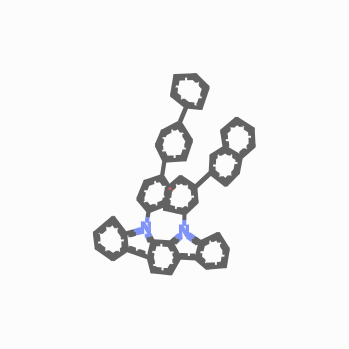 c1ccc(-c2ccc(-c3ccc(-n4c5ccccc5c5ccc6c7ccccc7n(-c7cccc(-c8ccc9ccccc9c8)c7)c6c54)cc3)cc2)cc1